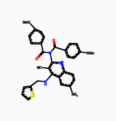 COc1ccc(C(=O)N(C(=O)c2ccc(OC)cc2)c2nc3ccc([N+](=O)[O-])cc3c(NCc3cccs3)c2C#N)cc1